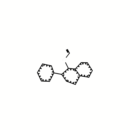 O=COc1c(-c2ccccc2)ccc2ccccc12